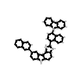 c1ccc2cc(-c3ccc4oc5ccc6nc(-c7ccc(-n8c9ccccc9c9ccccc98)c8ccccc78)oc6c5c4c3)ccc2c1